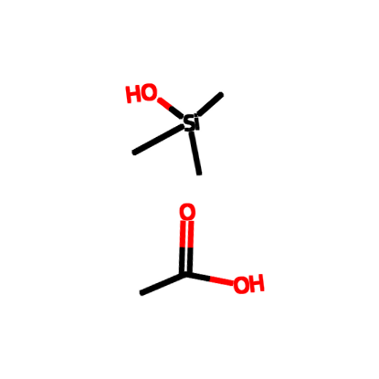 CC(=O)O.C[Si](C)(C)O